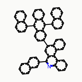 c1ccc2cc(-c3nc4ccccc4c4c3cc(-c3ccc5c(-c6cccc7ccccc67)c6ccccc6c(-c6cccc7ccccc67)c5c3)c3ccccc34)ccc2c1